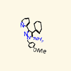 COc1ccc(Cn2nc(-c3ccccn3)c(C3=CCCCC3)c2N)cc1